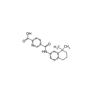 CC1(C)CCCc2ccc(NC(=O)c3ccc(C(=O)O)nc3)cc21